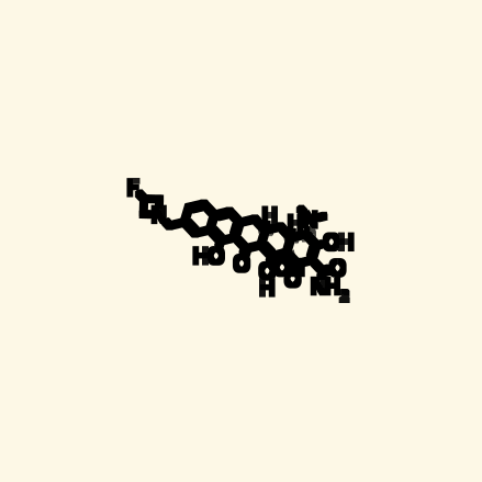 CN(C)[C@@H]1C(O)=C(C(N)=O)C(=O)[C@@]2(O)C(O)=C3C(=O)c4c(cc5ccc(CN6CC(F)C6)cc5c4O)C[C@H]3C[C@@H]12